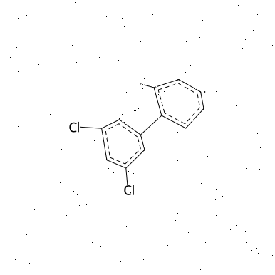 Cc1c[c]ccc1-c1cc(Cl)cc(Cl)c1